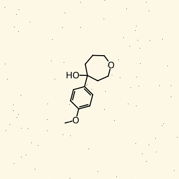 COc1ccc(C2(O)CCCOCC2)cc1